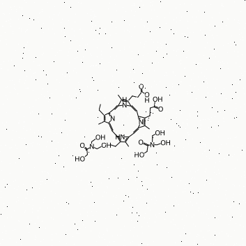 CCC1=C(C)c2cc3[nH]c(cc4nc(cc5[nH]c(cc1n2)c(C)c5CCC(=O)O)C(CCC(=O)O)=C4C)c(C)c3CC.O=C(CO)N(CO)CO.O=C(CO)N(CO)CO